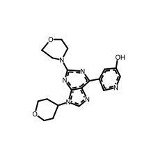 Oc1cncc(-c2nc(N3CCOCC3)nc3c2ncn3C2CCOCC2)c1